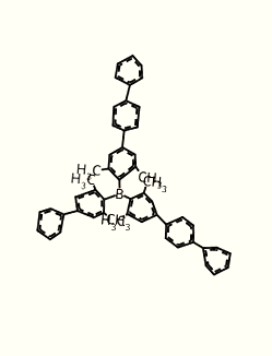 Cc1cc(-c2ccccc2)cc(C)c1B(c1c(C)cc(-c2ccc(-c3ccccc3)cc2)cc1C)c1c(C)cc(-c2ccc(-c3ccccc3)cc2)cc1C